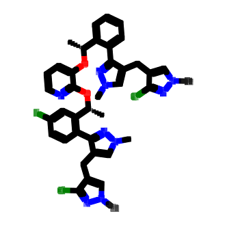 CCn1cc(Cc2cn(C)nc2-c2ccccc2[C@@H](C)Oc2cccnc2O[C@H](C)c2cc(F)ccc2-c2nn(C)cc2Cc2cn(CC)nc2Cl)c(Cl)n1